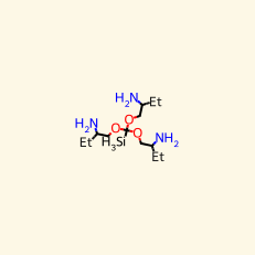 CCC(N)COC([SiH3])(OCC(N)CC)OCC(N)CC